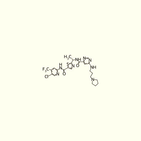 CC(NC(=O)c1cc(NCCCN2CCCC2)ncn1)c1ncc(C(=O)Nc2cc(C(F)(F)F)c(Cl)cn2)s1